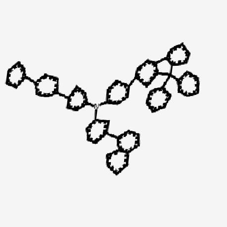 c1ccc(-c2ccc(-c3ccc(N(c4ccc(-c5ccc6c(c5)C(c5ccccc5)(c5ccccc5)c5ccccc5-6)cc4)c4cccc(-c5cccc6ccccc56)c4)cc3)cc2)cc1